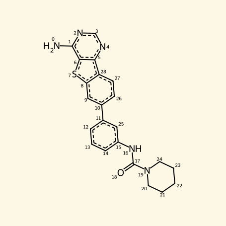 Nc1ncnc2c1sc1cc(-c3cccc(NC(=O)N4CCCCC4)c3)ccc12